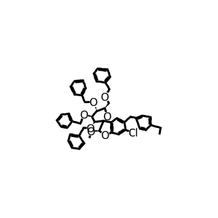 CCc1ccc(Cc2cc3c(cc2Cl)O[C@@H](OC)C32O[C@H](COCc3ccccc3)[C@@H](OCc3ccccc3)[C@H](OCc3ccccc3)[C@H]2OCc2ccccc2)cc1